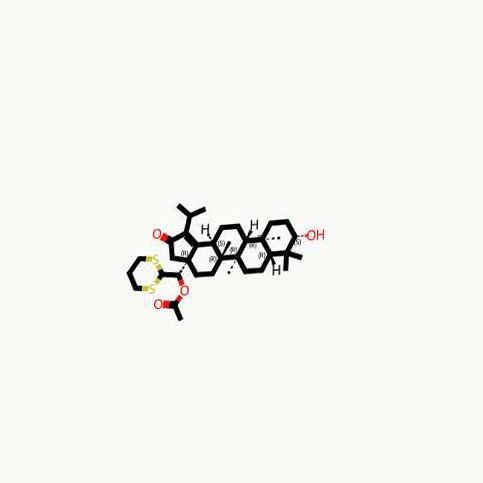 CC(=O)OC(C1SCCCS1)[C@@]12CC[C@]3(C)[C@H](CC[C@@H]4[C@@]5(C)CC[C@H](O)C(C)(C)[C@@H]5CC[C@]43C)C1=C(C(C)C)C(=O)C2